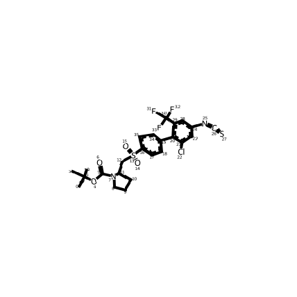 CC(C)(C)OC(=O)N1CCCC1CS(=O)(=O)c1ccc(-c2c(Cl)cc(N=C=S)cc2C(F)(F)F)cc1